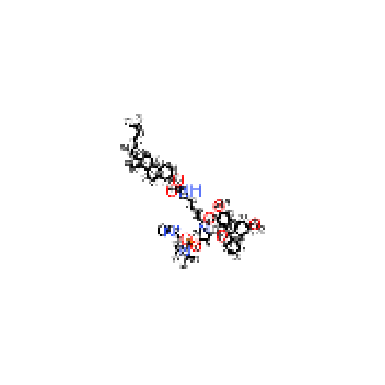 [C-]#[N+]CCOP(O[C@@H]1C[C@@H](COC(c2ccccc2)(c2ccc(OC)cc2)c2ccc(OC)cc2)N(C(=O)CCCCCNC(=O)O[C@H]2CC[C@@]3(C)C(=CCC4C3CC[C@@]3(C)C4CC[C@@H]3[C@H](C)CCCC(C)C)C2)C1)N(C(C)C)C(C)C